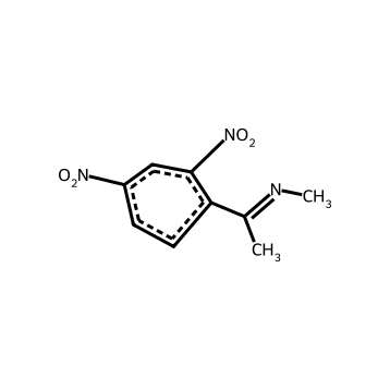 CN=C(C)c1ccc([N+](=O)[O-])cc1[N+](=O)[O-]